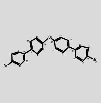 Brc1ccc(-c2ccc(Oc3ccc(-c4ccc(Br)cc4)cc3)cc2)cc1